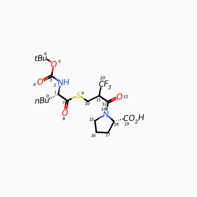 CCCC[C@H](NC(=O)OC(C)(C)C)C(=O)SCC(C(=O)N1CCC[C@H]1C(=O)O)C(F)(F)F